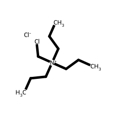 CCC[N+](CCl)(CCC)CCC.[Cl-]